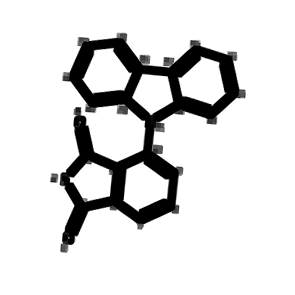 O=C1SC(=O)c2c1cccc2-n1c2ccccc2c2ccccc21